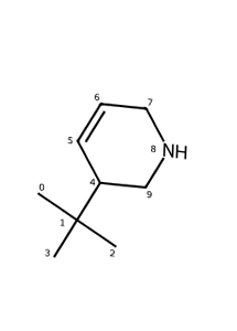 CC(C)(C)C1C=CCNC1